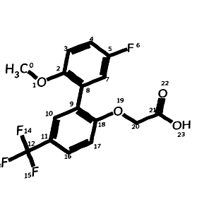 COc1ccc(F)cc1-c1cc(C(F)(F)F)ccc1OCC(=O)O